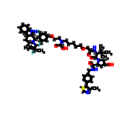 Cc1ncsc1-c1ccc(CNC(=O)[C@@H]2C[C@@H](O)CN2C(=O)[C@@H](NC(=O)COCCCCCN(CCOc2cc(F)c([C@@H]3c4[nH]c5ccccc5c4C[C@@H](C)N3CC(C)(C)F)c(F)c2)C(=O)O)C(C)(C)C)cc1